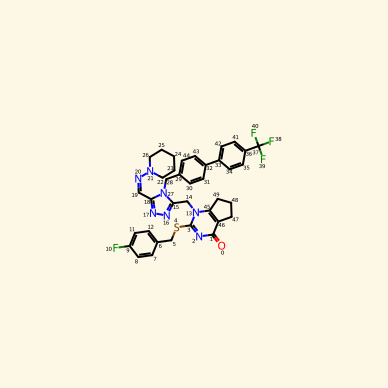 O=c1nc(SCc2ccc(F)cc2)n(Cc2nnc(C=NN3CCCCC3)n2Cc2ccc(-c3ccc(C(F)(F)F)cc3)cc2)c2c1CCC2